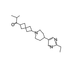 CCc1ncc(C2CCN(C3CC4(CC(C(=O)C(C)C)C4)C3)CC2)cn1